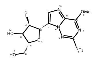 COc1nc(N)nn2c([C@@H]3O[C@H](CO)C(O)[C@H]3F)cnc12